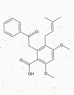 COc1cc(OC)c(C(=O)O)c(CC(=O)c2ccccc2)c1CC=C(C)C